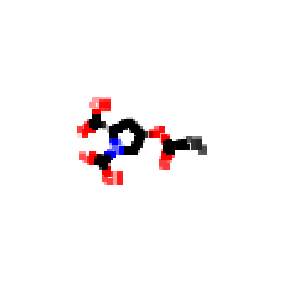 CC(=O)O[C@H]1C[C@@H](C(=O)O)N(C(=O)O)C1